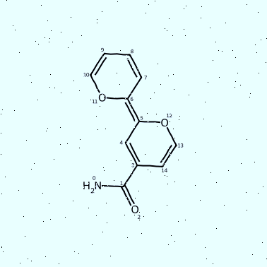 NC(=O)C1=CC(=C2C=CC=CO2)OC=C1